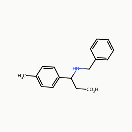 Cc1ccc(C(CC(=O)O)NCc2ccccc2)cc1